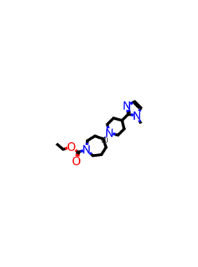 CCOC(=O)N1CCC[C@@H](N2CCC(c3nccn3C)CC2)CC1